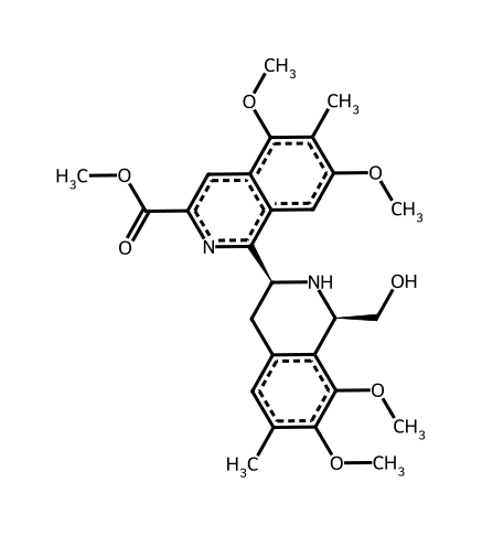 COC(=O)c1cc2c(OC)c(C)c(OC)cc2c([C@@H]2Cc3cc(C)c(OC)c(OC)c3[C@H](CO)N2)n1